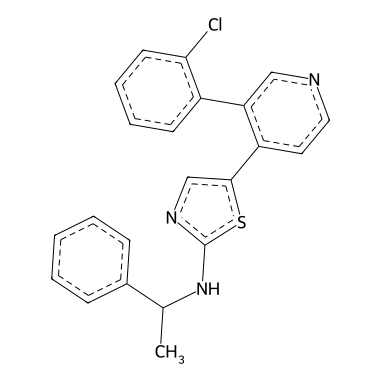 CC(Nc1ncc(-c2ccncc2-c2ccccc2Cl)s1)c1ccccc1